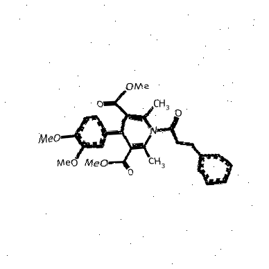 COC(=O)C1=C(C)N(C(=O)CCc2ccccc2)C(C)=C(C(=O)OC)C1c1ccc(OC)c(OC)c1